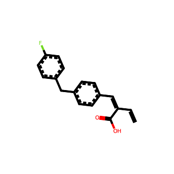 C=CC(=Cc1ccc(Cc2ccc(F)cc2)cc1)C(=O)O